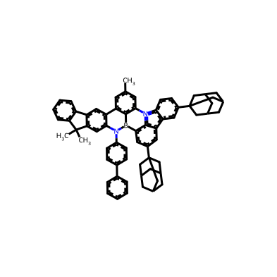 Cc1cc2c3c(c1)-n1c4ccc(C56CC7CC(CC(C7)C5)C6)cc4c4cc(C56CC7CC(CC(C7)C5)C6)cc(c41)B3N(c1ccc(-c3ccccc3)cc1)c1cc3c(cc1-2)-c1ccccc1C3(C)C